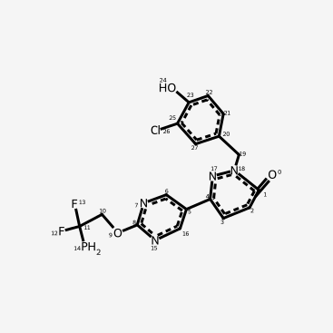 O=c1ccc(-c2cnc(OCC(F)(F)P)nc2)nn1Cc1ccc(O)c(Cl)c1